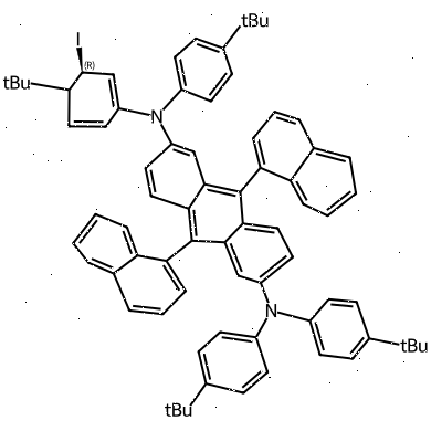 CC(C)(C)c1ccc(N(C2=C[C@H](I)C(C(C)(C)C)C=C2)c2ccc3c(-c4cccc5ccccc45)c4cc(N(c5ccc(C(C)(C)C)cc5)c5ccc(C(C)(C)C)cc5)ccc4c(-c4cccc5ccccc45)c3c2)cc1